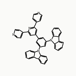 c1ccc2c(c1)c1ccccc1n2-c1cc(-c2cc(-c3ccncc3)nc(-c3ccncc3)c2)cc(-n2c3ccccc3c3ccccc32)c1